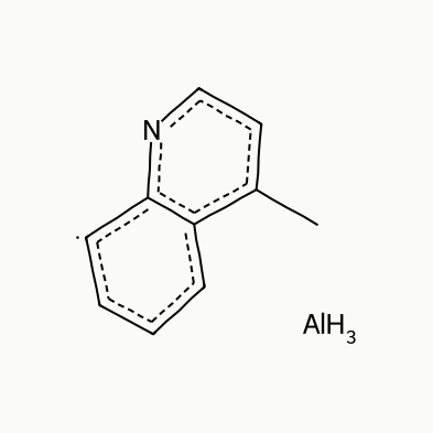 Cc1ccnc2[c]cccc12.[AlH3]